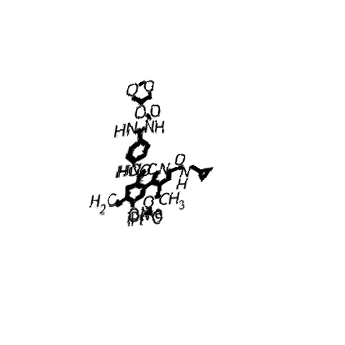 C=Cc1cc(C(=O)Nc2ccc(C(=N)NC(=O)OC3COCOC3)cc2)c(-c2c(C(C)OC(=O)C(C)C)cc(C(=O)NCC3CC3)nc2C(=O)O)cc1OC